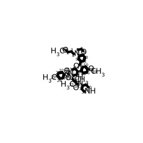 COCCCN1CCOc2ccc(CO[C@H]3CN(S(=O)(=O)c4ccc(C)cc4)[C@H](CC(C)(C)C(=O)NC4CCNCC4)C[C@@H]3c3ccc(OC)cc3)cc21